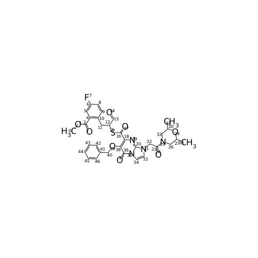 COC(=O)c1cc(F)ccc1CC(C=O)SC(=O)c1nc2n(CC(=O)N3CC(C)OC(C)C3)ccn2c(=O)c1OCc1ccccc1